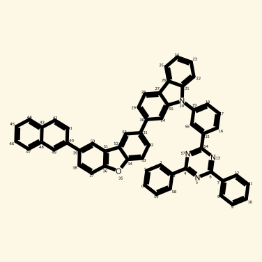 c1ccc(-c2nc(-c3ccccc3)nc(-c3cccc(-n4c5ccccc5c5ccc(-c6ccc7oc8ccc(-c9ccc%10ccccc%10c9)cc8c7c6)cc54)c3)n2)cc1